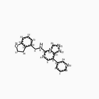 [c]1ccc(-c2cnc(NCc3cccc4c3CCO4)n3cnnc23)cn1